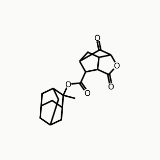 CC1(OC(=O)C2C3CC4C(OC(=O)C42)C3=O)C2CC3CC(C2)CC1C3